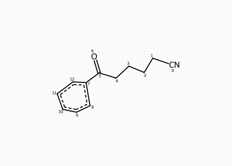 N#CCCCCC(=O)c1ccccc1